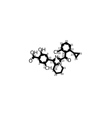 Cc1cc(C(=O)O)c(O)cc1-c1nc(C(=O)c2c(Cl)cccc2C2CC2)n2c1CCCC2